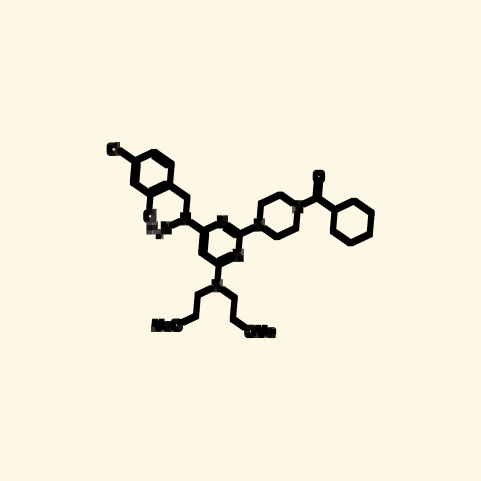 COCCN(CCOC)c1cc(N(N)Cc2ccc(Cl)cc2Cl)nc(N2CCN(C(=O)C3CCCCC3)CC2)n1